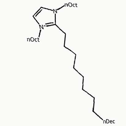 CCCCCCCCCCCCCCCCCCc1n(CCCCCCCC)cc[n+]1CCCCCCCC